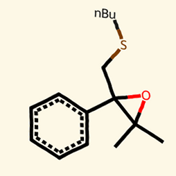 CCCCSCC1(c2ccccc2)OC1(C)C